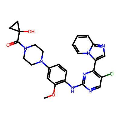 COc1cc(N2CCN(C(=O)C3(O)CC3)CC2)ccc1Nc1ncc(Cl)c(-c2cnc3ccccn23)n1